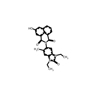 CCn1c(=O)n(CC)c2cc(N3C(=O)c4cccc5cc(O)cc(c45)C3=O)c(C)cc21